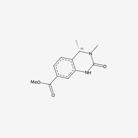 COC(=O)c1ccc2c(c1)NC(=O)N(C)[C@H]2C